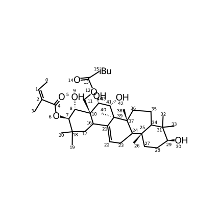 C/C=C(/C)C(=O)O[C@H]1[C@H](O)[C@@]2(COC(=O)C(C)CC)C(CC1(C)C)C1=CCC3[C@@]4(C)CC[C@H](O)C(C)(C)C4CC[C@@]3(C)[C@]1(C)[C@@H](O)[C@H]2O